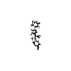 O=C(Nc1ccc(F)cc1)c1ccc(-c2cccnc2)s1